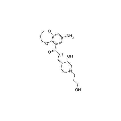 Nc1cc2c(c(C(=O)NC[C@@H]3CCN(CCCO)C[C@H]3O)c1)OCCCO2